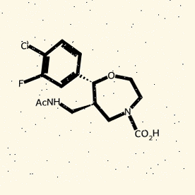 CC(=O)NC[C@@H]1CN(C(=O)O)CCO[C@H]1c1ccc(Cl)c(F)c1